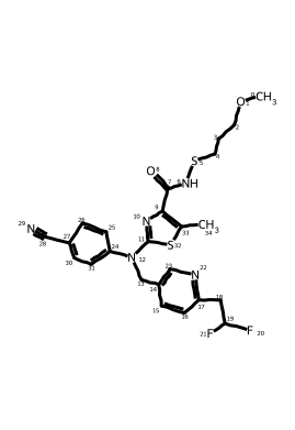 COCCCSNC(=O)c1nc(N(Cc2ccc(CC(F)F)nc2)c2ccc(C#N)cc2)sc1C